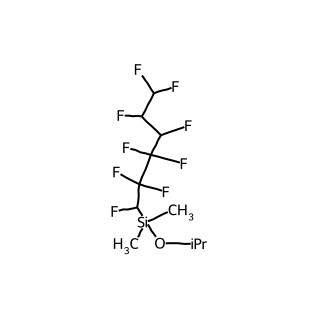 CC(C)O[Si](C)(C)C(F)C(F)(F)C(F)(F)C(F)C(F)C(F)F